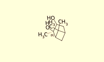 CC1(C)C2CC(O)[C@](C)(O)C1C2